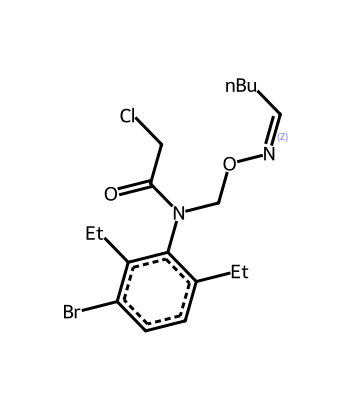 CCCC/C=N\OCN(C(=O)CCl)c1c(CC)ccc(Br)c1CC